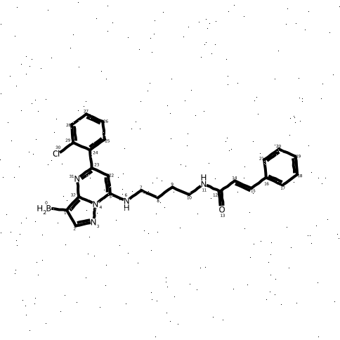 Bc1cnn2c(NCCCCNC(=O)/C=C/c3ccccc3)cc(-c3ccccc3Cl)nc12